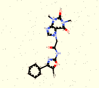 CCc1oc(NC(=O)Cn2cnc3c2c(=O)n(C)c(=O)n3C)nc1-c1ccccc1